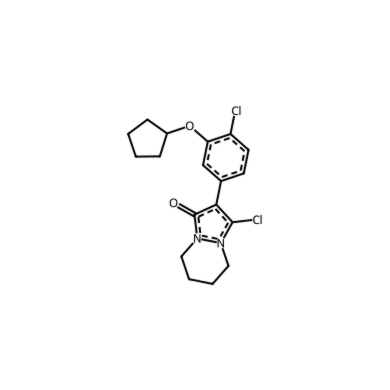 O=c1c(-c2ccc(Cl)c(OC3CCCC3)c2)c(Cl)n2n1CCCC2